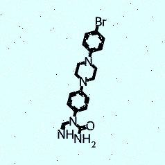 N=CN(C(N)=O)c1ccc(N2CCN(c3ccc(Br)cc3)CC2)cc1